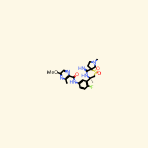 COc1cnc(C(=O)Nc2ccc(F)c([C@]3(C)CS(=O)(=O)C4(CCN(C)C4)C(=N)N3)c2)c(C)n1